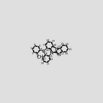 Cc1ccccc1B1c2ccccc2-n2c3c1cccc3n1c3ccccc3nc21